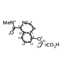 CNC(=O)c1nccc2c(O[C@@H](C)C(=O)O)cccc12